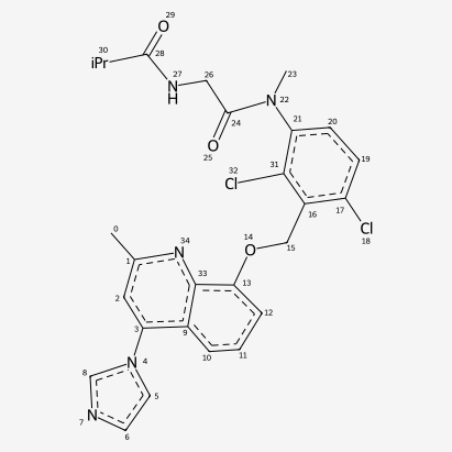 Cc1cc(-n2ccnc2)c2cccc(OCc3c(Cl)ccc(N(C)C(=O)CNC(=O)C(C)C)c3Cl)c2n1